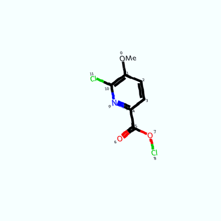 COc1ccc(C(=O)OCl)nc1Cl